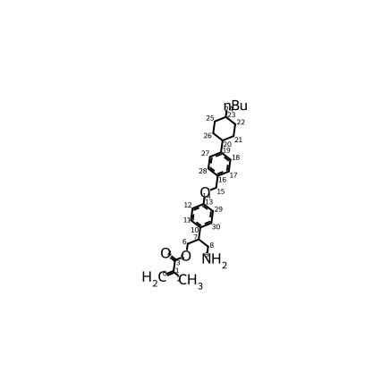 C=C(C)C(=O)OCC(CN)c1ccc(OCc2ccc(C3CCC(CCCC)CC3)cc2)cc1